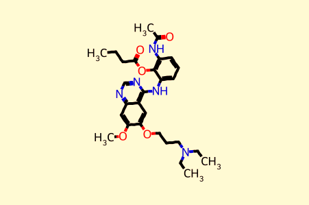 CCCC(=O)Oc1c(NC(C)=O)cccc1Nc1ncnc2cc(OC)c(OCCCN(CC)CC)cc12